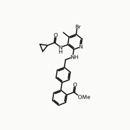 COC(=O)c1ccccc1-c1ccc(CNc2ncc(Br)c(C)c2NC(=O)C2CC2)cc1